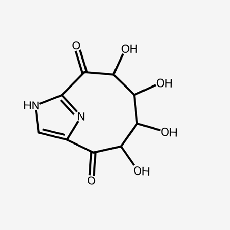 O=C1c2c[nH]c(n2)C(=O)C(O)C(O)C(O)C1O